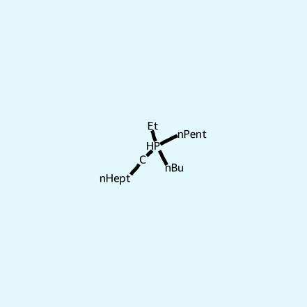 CCCCCCCC[PH](CC)(CCCC)CCCCC